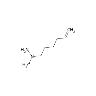 C=CCCCCN(C)N